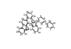 c1ccc(-c2cccc(-c3oc(-c4c(-c5ccccc5)ccc5c4oc4ccccc45)c4ccccc34)c2)cc1